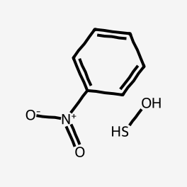 O=[N+]([O-])c1ccccc1.OS